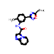 CCCC(C)c1nc(-c2ccc(C)c(NC(=O)c3cnc4ccccn34)c2)no1